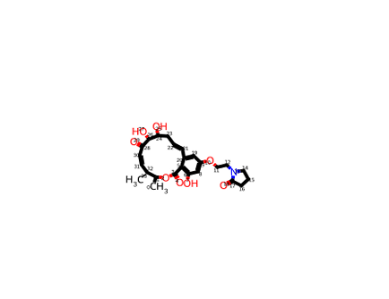 CC1OC(=O)c2c(O)cc(OCCN3CCCC3=O)cc2/C=C/CC(O)C(O)C(=O)/C=C\[C@H]1C